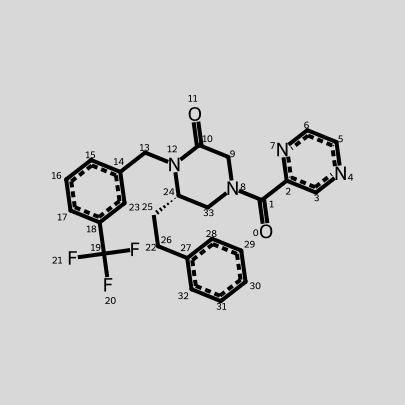 O=C(c1cnccn1)N1CC(=O)N(Cc2cccc(C(F)(F)F)c2)[C@@H](CCc2ccccc2)C1